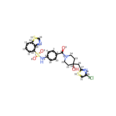 O=C(c1ccc(NS(=O)(=O)c2cccc3scnc23)cc1)N1CCC(O)(Cc2nc(Cl)cs2)CC1